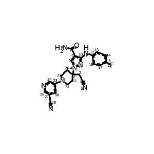 N#CCC1(n2cc(C(N)=O)c(Nc3ccc(F)cc3)n2)CCN(c2cncc(C#N)c2)CC1